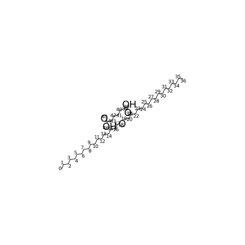 CCCCCCCCCCCCCCCCCCOCCCCCCCCCCCCCCCCCC.O=C(O)CCCCC(=O)O